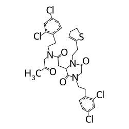 CC(=O)CN(CCc1ccc(Cl)cc1Cl)C(=O)CC1C(=O)N(CCc2ccc(Cl)cc2Cl)CC(=O)N1CCC1=CCCS1